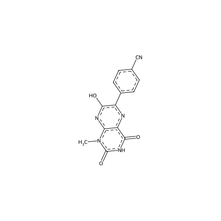 Cn1c(=O)[nH]c(=O)c2nc(-c3ccc(C#N)cc3)c(O)nc21